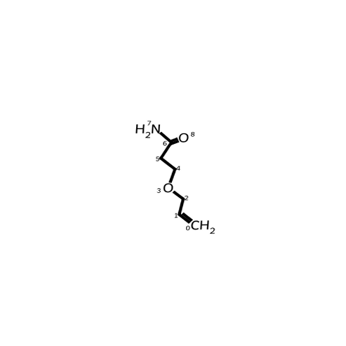 C=CCOCCC(N)=O